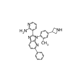 Cc1cc(C2CNC2)ccc1-n1c(-c2cccnc2N)nc2ccc(-c3ccccc3)nc21